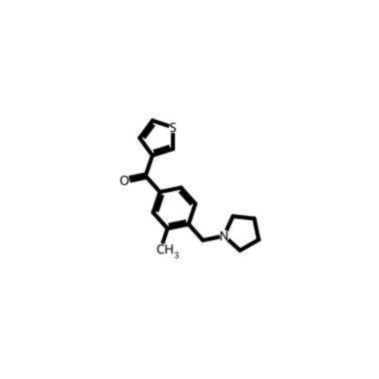 Cc1cc(C(=O)c2ccsc2)ccc1CN1CCCC1